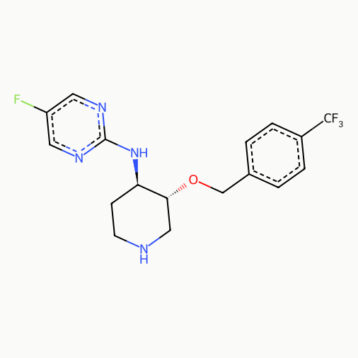 Fc1cnc(N[C@@H]2CCNC[C@H]2OCc2ccc(C(F)(F)F)cc2)nc1